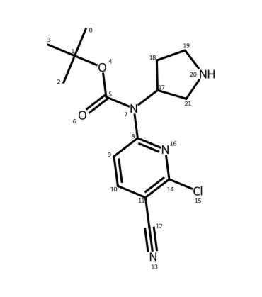 CC(C)(C)OC(=O)N(c1ccc(C#N)c(Cl)n1)C1CCNC1